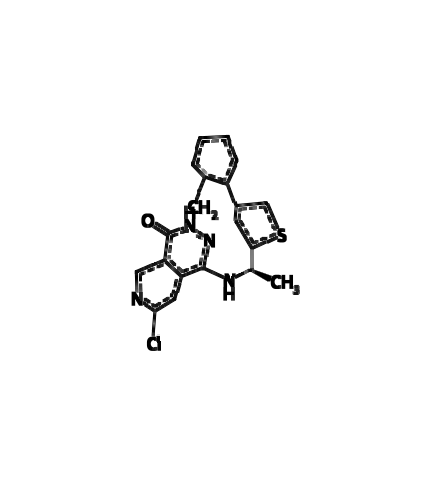 [CH2]c1ccccc1-c1csc([C@@H](C)Nc2n[nH]c(=O)c3cnc(Cl)cc23)c1